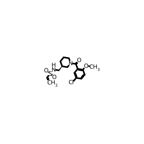 C=CS(=O)(=O)NC[C@H]1CCCN(C(=O)c2cc(Cl)ccc2OC)C1